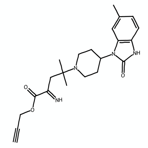 C#CCOC(=O)C(=N)CC(C)(C)N1CCC(n2c(=O)[nH]c3ccc(C)cc32)CC1